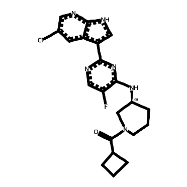 O=C(C1CCC1)N1CCC[C@H](Nc2nc(-c3c[nH]c4ncc(Cl)cc34)ncc2F)C1